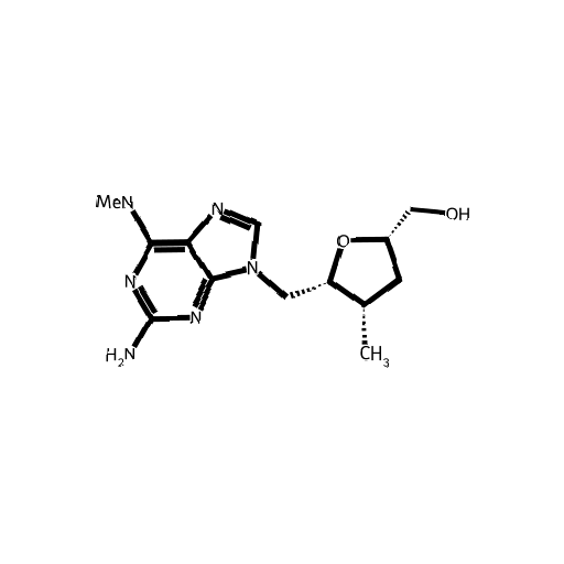 CNc1nc(N)nc2c1ncn2C[C@@H]1O[C@H](CO)C[C@@H]1C